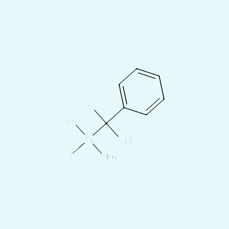 CC[Si](Cl)(C(C)(C)C)C(C)(C)c1ccccc1